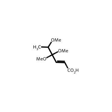 COC(C)C(C=CC(=O)O)(OC)OC